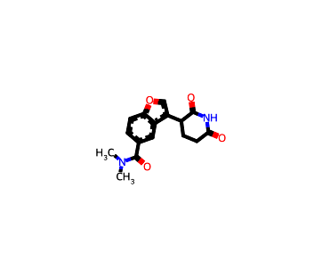 CN(C)C(=O)c1ccc2occ(C3CCC(=O)NC3=O)c2c1